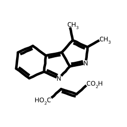 CC1=C(C)C2=c3ccccc3=NC2=N1.O=C(O)C=CC(=O)O